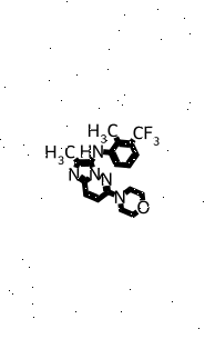 Cc1nc2ccc(N3CCOCC3)nn2c1Nc1cccc(C(F)(F)F)c1C